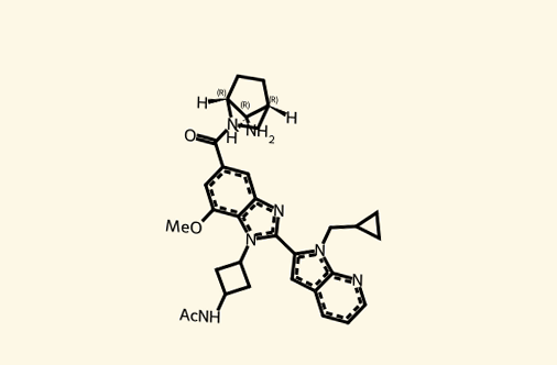 COc1cc(C(=O)N2C[C@H]3CC[C@@H]2[C@@H]3N)cc2nc(-c3cc4cccnc4n3CC3CC3)n(C3CC(NC(C)=O)C3)c12